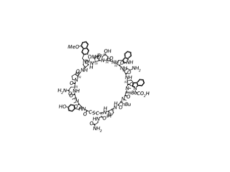 CCCC[C@H]1C(=O)N(C)[C@@H](CCCC)C(=O)N[C@@H](CC(C)C)C(=O)N[C@H](C(=O)NCC(N)=O)CSCC(=O)N[C@@H](Cc2ccc(O)cc2)C(=O)N(C)[C@@H](C)C(=O)N[C@@H](CC(N)=O)C(=O)N2CCC[C@H]2C(=O)N[C@@H](CNCc2cc3c(OC)cccc3cc2OC)C(=O)N[C@@H](CC(C)C)C(=O)N2C[C@H](O)C[C@H]2C(=O)N[C@@H](Cc2c[nH]c3ccccc23)C(=O)N[C@@H](CCN)C(=O)N[C@@H](Cc2cn(CC(=O)O)c3ccccc23)C(=O)N1C